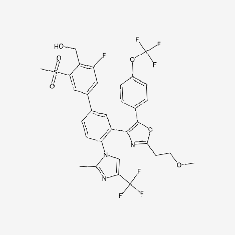 COCCc1nc(-c2cc(-c3cc(F)c(CO)c(S(C)(=O)=O)c3)ccc2-n2cc(C(F)(F)F)nc2C)c(-c2ccc(OC(F)(F)F)cc2)o1